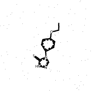 CCOc1ccc(-n2cn[nH]c2=S)cc1